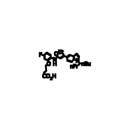 CCCCC(CCC)n1ccc2cc(C(=CC(=O)Nc3ccc(F)cc3OCCCC(=O)O)CC)ccc21